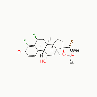 CCC(=O)O[C@]1(C(=S)OC)CC[C@H]2[C@@H]3C[C@H](F)C4=C(F)C(=O)C=C[C@]4(C)[C@H]3[C@@H](O)C[C@@]21C